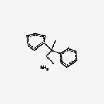 CCC(C)(c1ccccc1)c1ccccc1.N